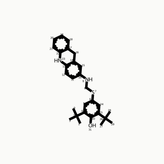 CC(C)(C)c1cc(SCNc2ccc3c(c2)Cc2ccccc2N3)cc(C(C)(C)C)c1O